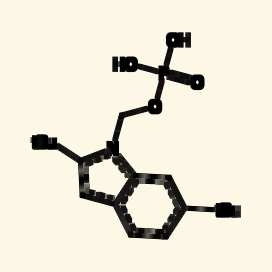 CC(C)(C)c1ccc2cc(C(C)(C)C)n(COP(=O)(O)O)c2c1